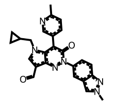 Cc1ccc(-c2c(=O)n(-c3ccc4nn(C)cc4c3)nc3c(C=O)cn(CC4CC4)c23)cn1